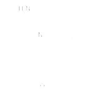 Nc1cccc(-c2ccoc2)n1